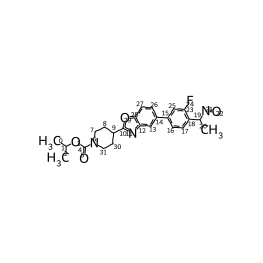 CC(C)OC(=O)N1CCC(c2nc3cc(-c4ccc(C(C)N=O)c(F)c4)ccc3o2)CC1